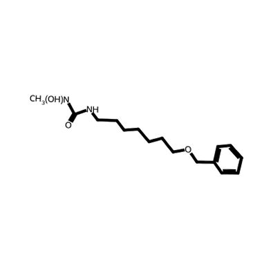 CN(O)C(=O)NCCCCCCCOCc1ccccc1